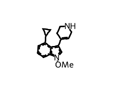 COn1cc(C2=CCNCC2)c2c(C3CC3)cccc21